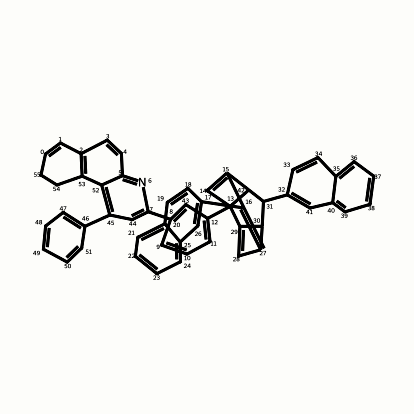 C1=Cc2ccc3nc(-c4cccc(C56C=C7C(c8ccc9ccccc9c8)=C8C=C5C8C(c5ccc8ccccc8c5)C76)c4)cc(-c4ccccc4)c3c2CC1